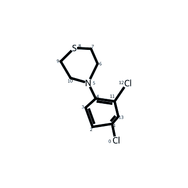 Clc1ccc(N2CCSCC2)c(Cl)c1